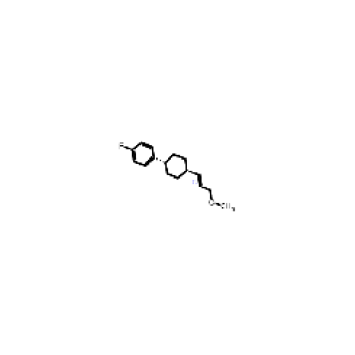 COC/C=C/[C@H]1CC[C@H](c2ccc(F)cc2)CC1